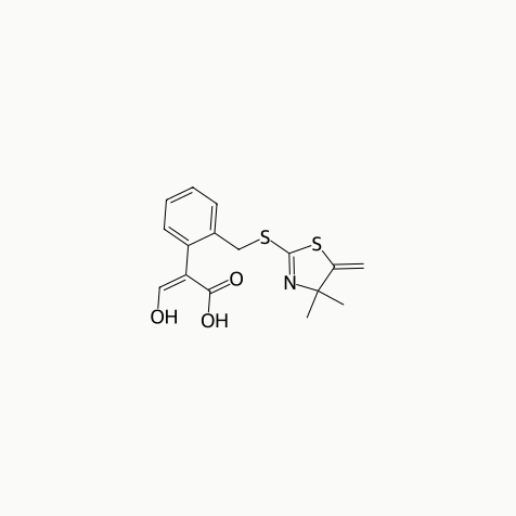 C=C1SC(SCc2ccccc2C(=CO)C(=O)O)=NC1(C)C